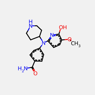 COc1ccc(N(c2ccc(C(N)=O)cc2)C2CCNCC2)nc1O